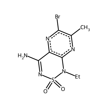 CCN1c2nc(C)c(Br)nc2C(N)=NS1(=O)=O